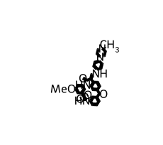 COc1cccc(S(=O)(=O)Nc2cccc(C(=O)c3ccc4c(c3)NC(=O)C4=CNc3ccc(N4CCN(C)CC4)cc3)c2)c1